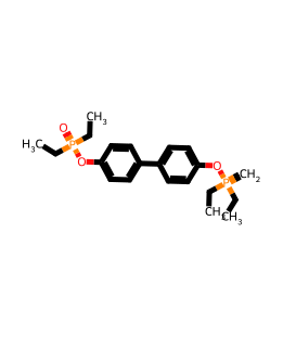 C=P(CC)(CC)Oc1ccc(-c2ccc(OP(=O)(CC)CC)cc2)cc1